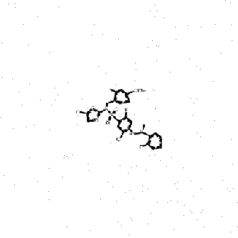 COc1ccc(CN(c2ncc(Cl)s2)S(=O)(=O)c2cc(Cl)c(N[C@@H](C)c3ccccc3F)cc2F)c(C)c1